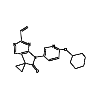 C=Cc1ncc2c(n1)N(c1ccc(OC3CCCCC3)nc1)C(=O)C21CC1